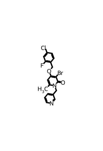 Cc1cc(OCc2ccc(Cl)cc2F)c(Br)c(=O)n1Cc1cccnc1